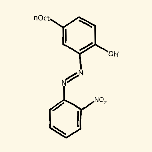 CCCCCCCCc1ccc(O)c(N=Nc2ccccc2[N+](=O)[O-])c1